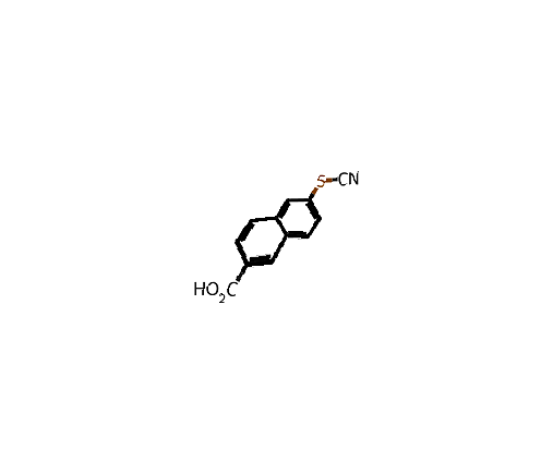 N#CSc1ccc2cc(C(=O)O)ccc2c1